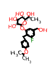 CC(C)Oc1ccc(Cc2c(F)cc(CO)cc2O[C@@H]2O[C@H]([C@@H](C)O)[C@@H](O)[C@H](O)[C@H]2O)cc1